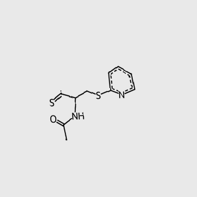 CC(=O)NC([C]=S)CSc1ccccn1